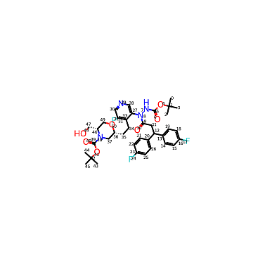 CC(C)(C)OC(=O)NN(C(=O)CC(c1ccc(F)cc1)c1ccc(F)cc1)c1cncc(F)c1CC[C@@H]1CN(C(=O)OC(C)(C)C)[C@H](CO)CO1